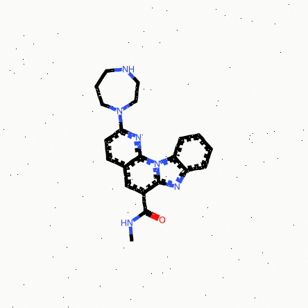 CNC(=O)c1cc2ccc(N3CCCNCC3)nc2n2c1nc1ccccc12